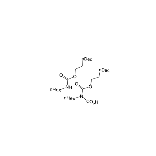 CCCCCCCCCCCCOC(=O)N(CCCCCC)C(=O)O.CCCCCCCCCCCCOC(=O)NCCCCCC